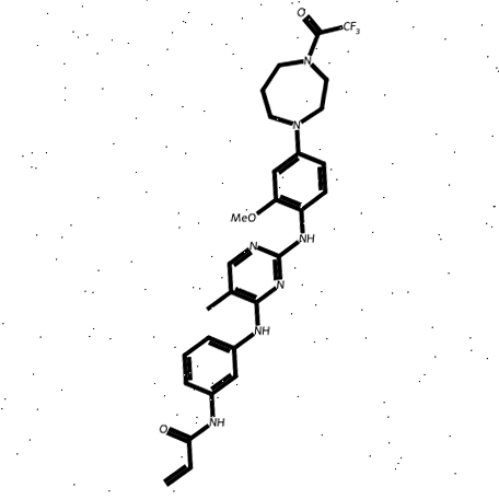 C=CC(=O)Nc1cccc(Nc2nc(Nc3ccc(N4CCCN(C(=O)C(F)(F)F)CC4)cc3OC)ncc2C)c1